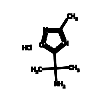 Cc1noc(C(C)(C)N)n1.Cl